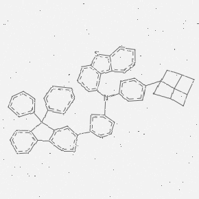 c1ccc(C2(c3ccccc3)c3ccccc3-c3ccc(-c4cccc(N(c5ccc(C67CC8CC9CC(C6)C987)cc5)c5cccc6sc7ccccc7c56)c4)cc32)cc1